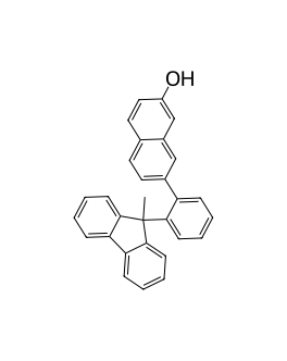 CC1(c2ccccc2-c2ccc3ccc(O)cc3c2)c2ccccc2-c2ccccc21